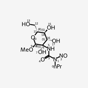 CCCN(N=O)C(=O)N[C@@]1(O)[C@@H](OC)O[C@H](CO)[C@@H](O)[C@@H]1O